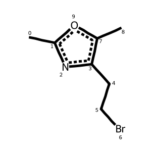 Cc1nc(CCBr)c(C)o1